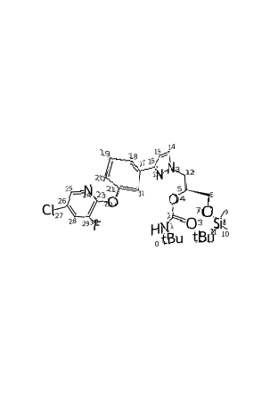 CC(C)(C)NC(=O)O[C@H](CO[Si](C)(C)C(C)(C)C)Cn1ccc(-c2cccc(Oc3ncc(Cl)cc3F)c2)n1